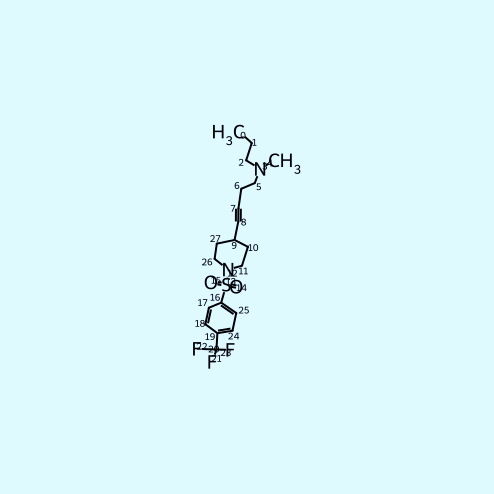 CCCN(C)CCC#CC1CCN(S(=O)(=O)c2ccc(C(F)(F)F)cc2)CC1